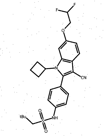 CC(C)(C)CS(=O)(=O)Nc1ccc(-c2c(C#N)c3ccc(OCC(F)F)cc3n2C2CCC2)cc1